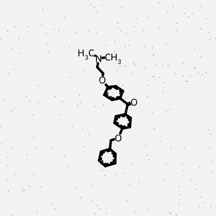 CN(C)CCOc1ccc(C(=O)c2ccc(OCc3ccccc3)cc2)cc1